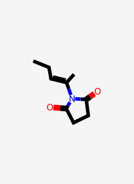 CCC=C(C)N1C(=O)CCC1=O